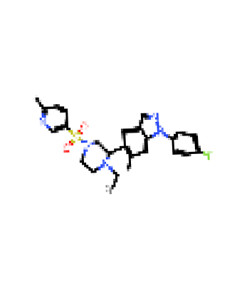 Cc1ccc(S(=O)(=O)N2CCN(CC(C)C)C(c3cc4cnn(-c5ccc(F)cc5)c4cc3C)C2)cn1